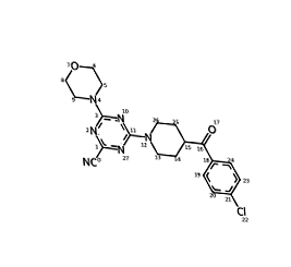 N#Cc1nc(N2CCOCC2)nc(N2CCC(C(=O)c3ccc(Cl)cc3)CC2)n1